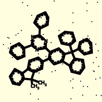 CC1(C)c2ccccc2-c2ccc(-c3cc4c(cc3-c3nc(-c5ccccc5)nc(-c5ccccc5)n3)C(c3ccccc3)(c3ccccc3)c3ccccc3-4)cc21